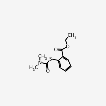 CCOC(=O)c1ccccc1SC(=O)N(C)C